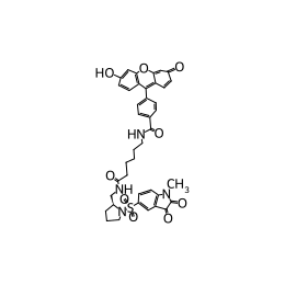 CN1C(=O)C(=O)c2cc(S(=O)(=O)N3CCC[C@H]3CNC(=O)CCCCCNC(=O)c3ccc(-c4c5ccc(=O)cc-5oc5cc(O)ccc45)cc3)ccc21